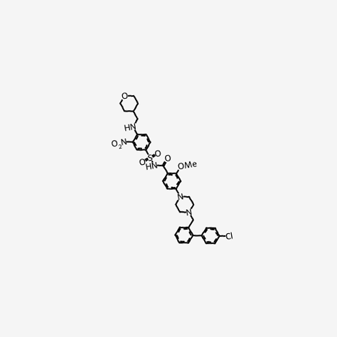 COc1cc(N2CCN(Cc3ccccc3-c3ccc(Cl)cc3)CC2)ccc1C(=O)NS(=O)(=O)c1ccc(NCC2CCOCC2)c([N+](=O)[O-])c1